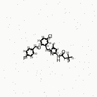 Cc1cc(NC(=O)CC(C)(C)C)nn1Cc1cc(Cl)ccc1OCc1ccc(F)cc1